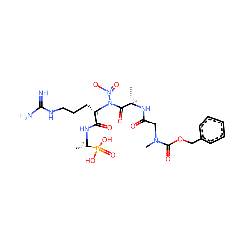 C[C@H](NC(=O)CN(C)C(=O)OCc1ccccc1)C(=O)N([C@@H](CCCNC(=N)N)C(=O)N[C@@H](C)P(=O)(O)O)[N+](=O)[O-]